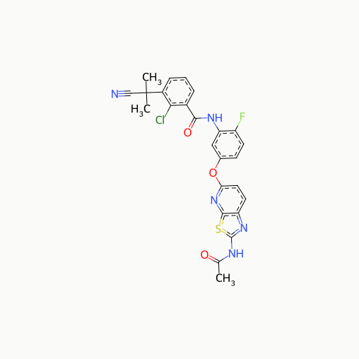 CC(=O)Nc1nc2ccc(Oc3ccc(F)c(NC(=O)c4cccc(C(C)(C)C#N)c4Cl)c3)nc2s1